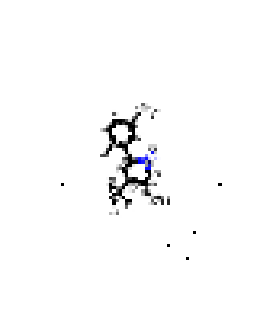 Cc1ccc(C(C)C)cc1-c1cc([Si](C)(C)C)c(C(C)(C)C)c[n+]1C